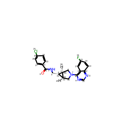 O=C(NC[C@@H]1[C@H]2CN(c3ncnc4ccc(F)cc34)C[C@@H]12)c1ccc(Cl)cc1